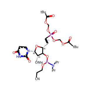 CO[C@H]1C(OP(OCCC#N)N(C(C)C)C(C)C)[C@@H](/C=C/P(=O)(OCOC(=O)C(C)(C)C)OCOC(=O)C(C)(C)C)O[C@H]1n1ccc(=O)[nH]c1=O